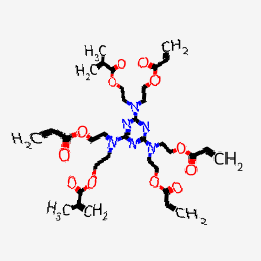 C=CC(=O)OCCN(CCOC(=O)C=C)c1nc(N(CCOC(=O)C=C)CCOC(=O)C(=C)C)nc(N(CCOC(=O)C=C)CCOC(=O)C(=C)C)n1